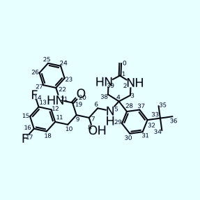 C=C1NCC(NCC(O)C(Cc2cc(F)cc(F)c2)C(=O)Nc2ccccc2)(c2cccc(C(C)(C)C)c2)CN1